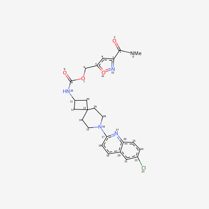 CNC(=O)c1cc(COC(=O)NC2CC3(CCN(c4ccc5cc(Cl)ccc5n4)CC3)C2)on1